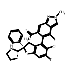 Cn1cc2c(F)c(-c3c(Cl)c(F)cc4c3C[C@](c3ccccc3)([C@@H]3CCCN3)O4)c(C(N)=O)cc2n1